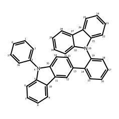 c1ccc(-n2c3ccccc3c3cc(-c4ccccc4-n4c5ccccc5c5ccccc54)ccc32)cc1